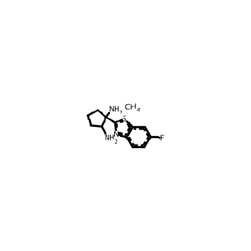 C.NC1CCCC1(N)c1nc2ccc(F)cc2s1